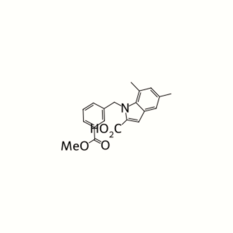 COC(=O)c1cccc(Cn2c(C(=O)O)cc3cc(C)cc(C)c32)c1